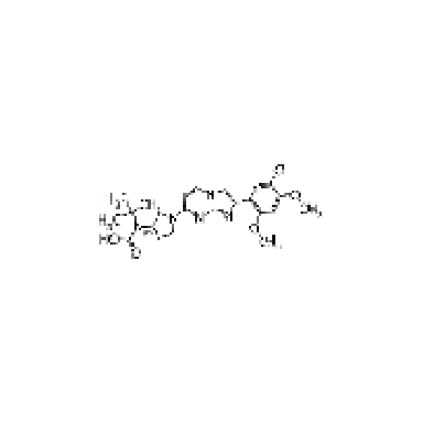 COc1cc(OC)c(-c2cn3ccc(N4CC[C@@H](N(C(=O)O)C(C)(C)C)C4)nc3n2)cc1Cl